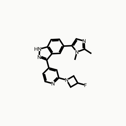 Cc1ncc(-c2ccc3[nH]nc(-c4ccnc(N5CC(F)C5)c4)c3c2)n1C